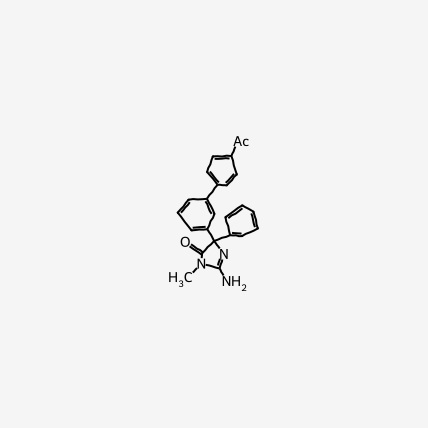 CC(=O)c1ccc(-c2cccc(C3(c4ccccc4)N=C(N)N(C)C3=O)c2)cc1